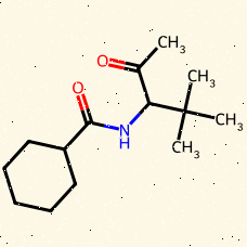 CC(=O)C(NC(=O)C1CCCCC1)C(C)(C)C